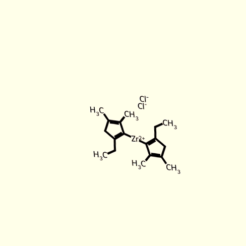 CCC1=[C]([Zr+2][C]2=C(CC)CC(C)=C2C)C(C)=C(C)C1.[Cl-].[Cl-]